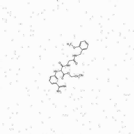 CCOC(=O)C(Nc1cccc(C(=N)N)c1)C(=O)NCC(=O)NCc1ccccc1OC.Cl